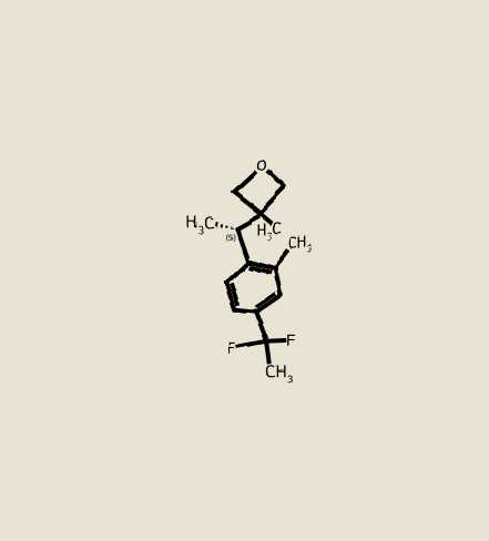 Cc1cc(C(C)(F)F)ccc1[C@H](C)C1(C)COC1